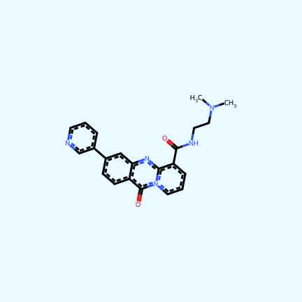 CN(C)CCNC(=O)c1cccn2c(=O)c3ccc(-c4cccnc4)cc3nc12